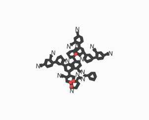 N#Cc1ccc(-c2ccc3c(c2)c2cc(-c4ccc(C#N)cc4C#N)ccc2n3-c2ccc(C#N)cc2-c2ccc(-c3nc(-c4ccccc4)nc(-c4ccccc4)n3)cc2-n2c3ccc(-c4ccc(C#N)cc4C#N)cc3c3cc(-c4ccc(C#N)cc4C#N)ccc32)c(C#N)c1